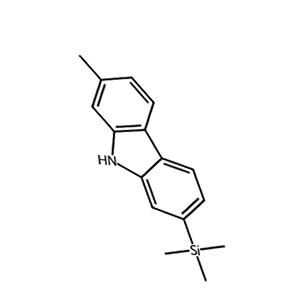 Cc1ccc2c(c1)[nH]c1cc([Si](C)(C)C)ccc12